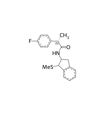 CSC1c2ccccc2CC1NC(=O)[C@@H](C)c1ccc(F)cc1